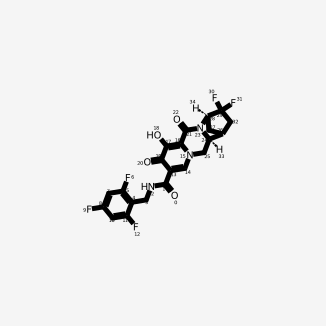 O=C(NCc1c(F)cc(F)cc1F)c1cn2c(c(O)c1=O)C(=O)N1[C@H](C2)C2C[C@@H]1C(F)(F)C2